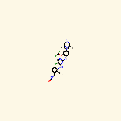 Cc1c(CNC=O)cccc1Nc1nc(Nc2ccc(N3[C@H]4CC[C@H]3CNC4)cc2OC(F)F)ncc1Cl